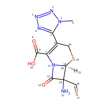 Cn1nnnc1C1=C(C(=O)O)N2C(=O)C(N)(C=S)[C@@H]2SC1